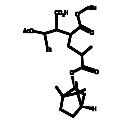 CCCCOC(=O)C(CC(C)C(=O)O[C@@H]1C[C@@H]2CCC1(C)C2(C)C)C(C(=O)O)C(CC)OC(C)=O